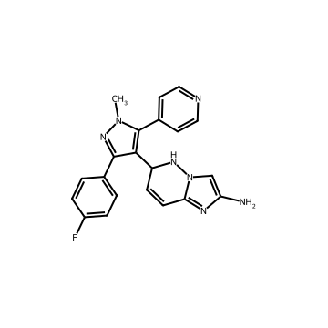 Cn1nc(-c2ccc(F)cc2)c(C2C=Cc3nc(N)cn3N2)c1-c1ccncc1